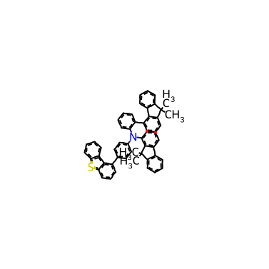 CC1(C)c2ccccc2-c2c(-c3ccccc3N(c3ccc(-c4cccc5sc6ccccc6c45)cc3)c3cccc4c3C(C)(C)c3ccccc3-4)cccc21